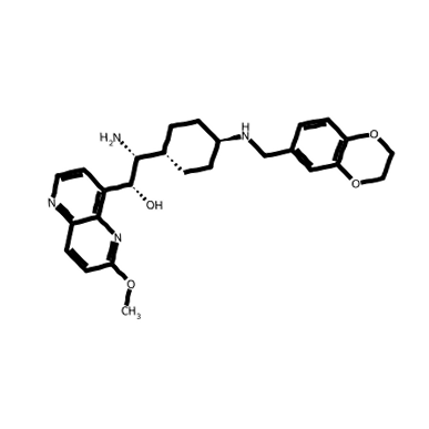 COc1ccc2nccc([C@@H](O)[C@H](N)[C@H]3CC[C@H](NCc4ccc5c(c4)OCCO5)CC3)c2n1